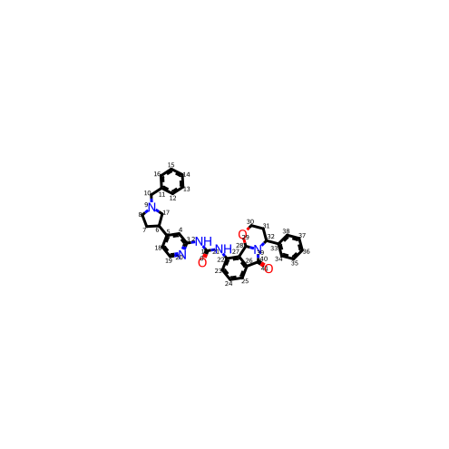 O=C(Nc1cc(C2CCN(Cc3ccccc3)C2)ccn1)Nc1cccc2c1C1OCCC(c3ccccc3)N1C2=O